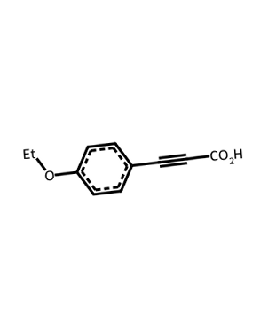 CCOc1ccc(C#CC(=O)O)cc1